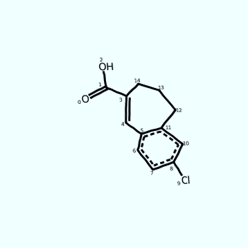 O=C(O)C1=Cc2ccc(Cl)cc2CCC1